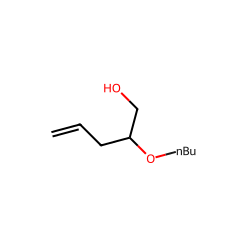 C=CCC(CO)OCCCC